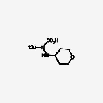 CC(C)(C)N(NC1CCOCC1)C(=O)O